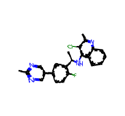 Cc1ncc(-c2ccc(F)c(C(C)Nc3c(Cl)c(C)nc4ccccc34)c2)cn1